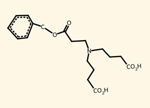 O=C(O)CCCN(CCCC(=O)O)CCC(=O)OCc1ccccc1